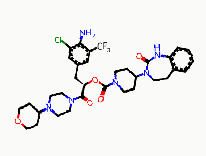 Nc1c(Cl)cc(C[C@@H](OC(=O)N2CCC(N3CCc4ccccc4NC3=O)CC2)C(=O)N2CCN(C3CCOCC3)CC2)cc1C(F)(F)F